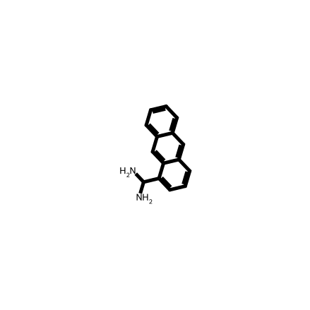 NC(N)c1cccc2cc3ccccc3cc12